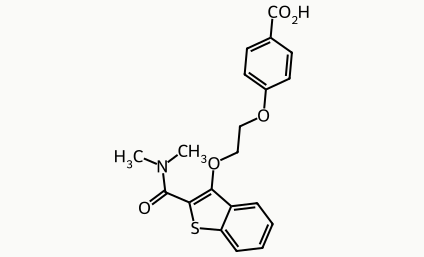 CN(C)C(=O)c1sc2ccccc2c1OCCOc1ccc(C(=O)O)cc1